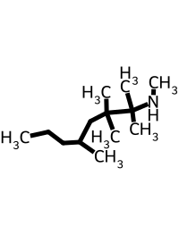 CCCC(C)CC(C)(C)C(C)(C)NC